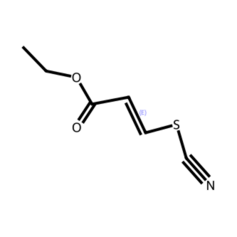 CCOC(=O)/C=C/SC#N